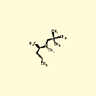 C=C(CCC)N(C)CC(C)(C)C